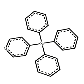 c1ccc([Si](c2ccccc2)(c2ccccc2)c2ccncc2)cc1